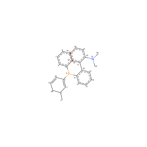 CC1C=C(P(c2ccccc2)c2ccccc2-c2ccccc2N(C)C)C=CC1